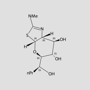 CCC[C@H](O)[C@H]1O[C@@H]2SC(NC)=N[C@@H]2[C@@H](O)[C@@H]1O